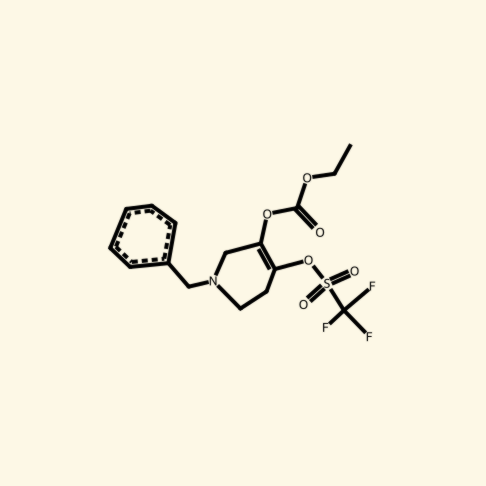 CCOC(=O)OC1=C(OS(=O)(=O)C(F)(F)F)CCN(Cc2ccccc2)C1